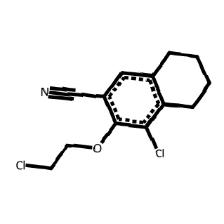 N#Cc1cc2c(c(Cl)c1OCCCl)CCCC2